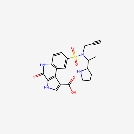 C#CCN(C(C)C1CCCN1)S(=O)(=O)c1ccc2[nH]c(=O)c3[nH]cc(C(=O)O)c3c2c1